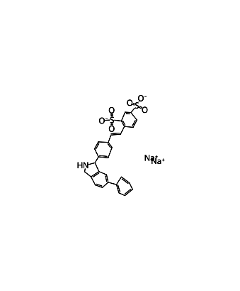 O=S(=O)([O-])c1ccc(C=Cc2ccc(C3NCc4ccc(-c5ccccc5)cc43)cc2)c(S(=O)(=O)[O-])c1.[Na+].[Na+]